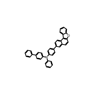 c1ccc(-c2ccc(N(c3ccccc3)c3ccc(-c4ccc5c(ccc6oc7ccccc7c65)c4)cc3)cc2)cc1